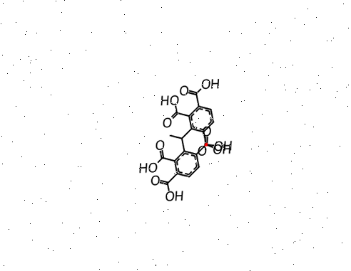 CC(c1c(C(=O)O)ccc(C(=O)O)c1C(=O)O)c1c(C(=O)O)ccc(C(=O)O)c1C(=O)O